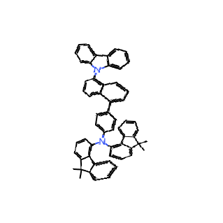 CC1(C)c2ccccc2-c2c(N(c3ccc(-c4cccc5c(-n6c7ccccc7c7ccccc76)cccc45)cc3)c3cccc4c3-c3ccccc3C4(C)C)cccc21